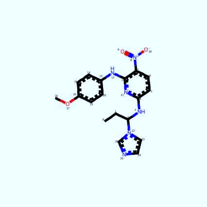 CCC(Nc1ccc([N+](=O)[O-])c(Nc2ccc(OC)cc2)n1)n1ccnc1